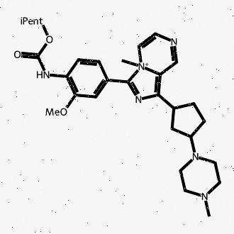 CCCC(C)OC(=O)Nc1ccc(C2=NC(C3CCC(N4CCN(C)CC4)C3)=C3C=NC=C[N+]23C)cc1OC